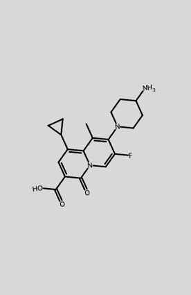 Cc1c(N2CCC(N)CC2)c(F)cn2c(=O)c(C(=O)O)cc(C3CC3)c12